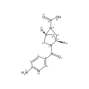 Nc1ccc(C(=O)N2C[C@H]3C[C@@H]2CN3C(=O)O)cn1